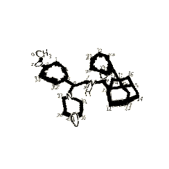 COc1ccc(C(CNC(=O)C23CC4CC5CC(c6ccccc6)(C2)C453)N2CCOCC2)cc1